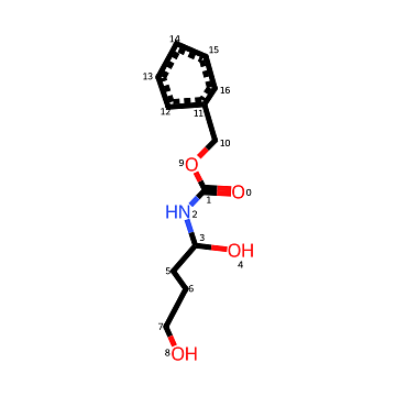 O=C(NC(O)CCCO)OCc1ccccc1